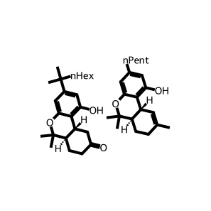 CCCCCCC(C)(C)c1cc(O)c2c(c1)OC(C)(C)[C@@H]1CCC(=O)C[C@@H]21.CCCCCc1cc(O)c2c(c1)OC(C)(C)[C@@H]1CCC(C)=C[C@@H]21